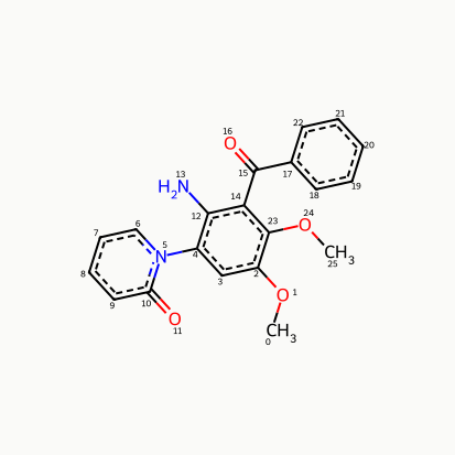 COc1cc(-n2ccccc2=O)c(N)c(C(=O)c2ccccc2)c1OC